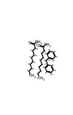 CCCCCCCCCC(N)=O.CCCCCCCCCC(N)=O.c1ccc(Cc2ccccc2)cc1